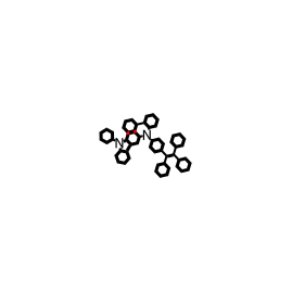 c1ccc(C(=C(c2ccccc2)c2ccc(N(c3ccc4c(c3)c3ccccc3n4-c3ccccc3)c3ccccc3-c3ccccc3)cc2)c2ccccc2)cc1